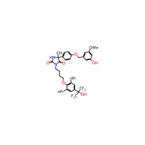 CCCc1cc(C(O)(C(F)(F)F)C(F)(F)F)cc(CCC)c1OCCCCN1C(=O)NC(C)(c2ccc(OCc3cc(O)cc(OC)c3)cc2)C1=O